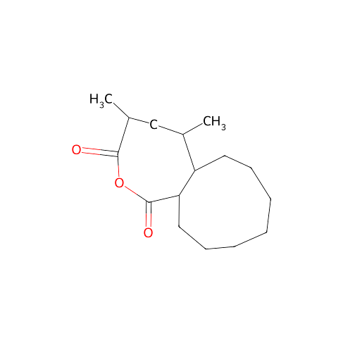 CC1CC(C)C2CCCCCCCC2C(=O)OC1=O